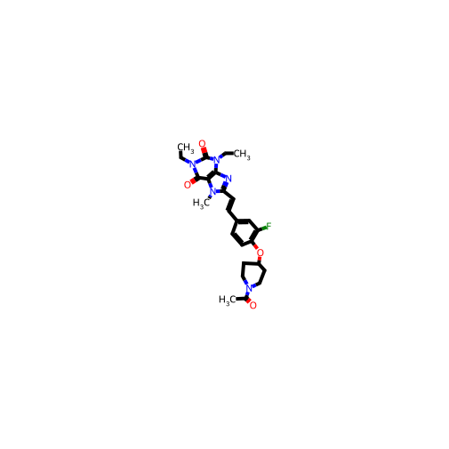 CCn1c(=O)c2c(nc(C=Cc3ccc(OC4CCN(C(C)=O)CC4)c(F)c3)n2C)n(CC)c1=O